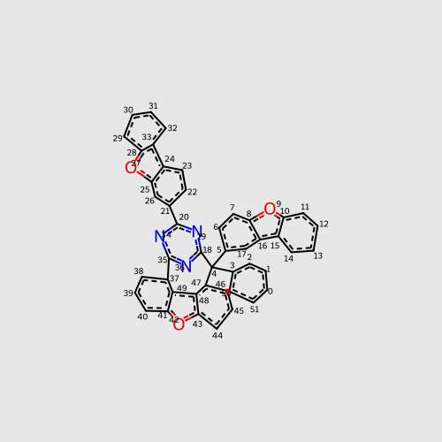 c1ccc(C2(c3ccc4oc5ccccc5c4c3)c3nc(-c4ccc5c(c4)oc4ccccc45)nc(n3)-c3cccc4oc5cccc2c5c34)cc1